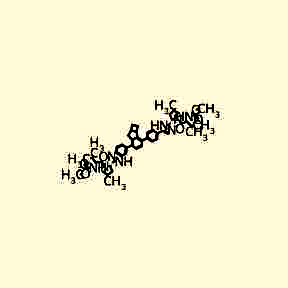 COC(=O)N[C@H](C(=O)N1C[C@@H](C)C[C@H]1c1ncc(-c2ccc(-c3ccc(-c4ccc5nc([C@@H]6C[C@H](C)CN6C(=O)[C@@H](NC(=O)OC)C(C)C)[nH]c5c4)c4c3C3CCC3C4)cc2)[nH]1)C(C)C